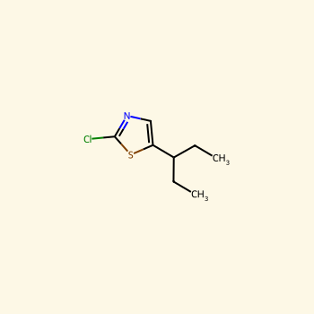 CCC(CC)c1cnc(Cl)s1